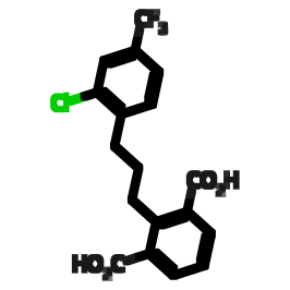 O=C(O)c1cccc(C(=O)O)c1CCCc1ccc(C(F)(F)F)cc1Cl